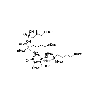 CCCCCCCCCCCCCC[P+](CCCCCC)(CCCCCC)CCCCCC.CCCCCCCCCCCCCC[P+](CCCCCC)(CCCCCC)CCCCCC.COc1c(Cl)ccc(Cl)c1C(=O)[O-].O=C([O-])CNCP(=O)(O)O